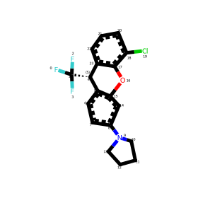 FC(F)(F)[C@H]1c2ccc(N3CCCC3)cc2Oc2c(Cl)cccc21